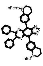 CCCCCN1CCCc2cc(-c3c4nsnc4c(-c4ccc5c(c4)CCCN5CCCC)c4nc(-c5ccccc5)c(-c5ccccc5)nc34)ccc21